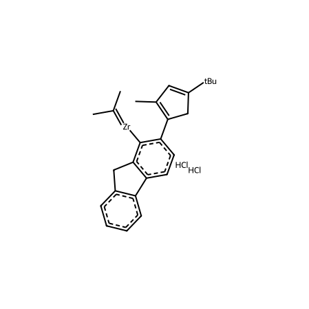 C[C](C)=[Zr][c]1c(C2=C(C)C=C(C(C)(C)C)C2)ccc2c1Cc1ccccc1-2.Cl.Cl